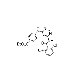 CCOC(=O)c1ccc(Nc2cc(NC(=O)c3c(Cl)cccc3Cl)ncn2)cc1